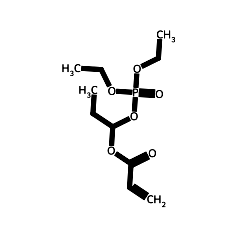 C=CC(=O)OC(CC)OP(=O)(OCC)OCC